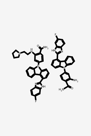 NC(=O)c1ccc(-n2c3ccccc3c3c(-c4nc5ccc(F)cc5[nH]4)cccc32)cc1N.NC(=O)c1ccc(-n2c3ccccc3c3c(-c4nc5ccc(F)cc5[nH]4)cccc32)cc1NCCN1CCCC1